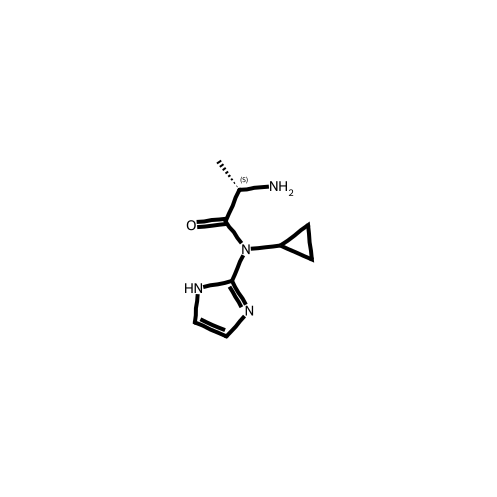 C[C@H](N)C(=O)N(c1ncc[nH]1)C1CC1